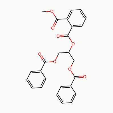 COC(=O)c1ccccc1C(=O)OC(COC(=O)c1ccccc1)COC(=O)c1ccccc1